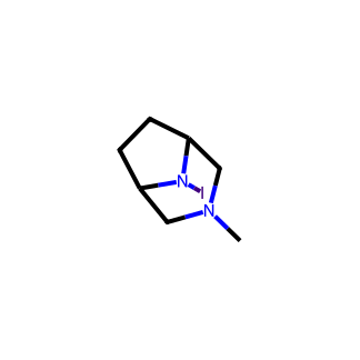 CN1CC2CCC(C1)N2I